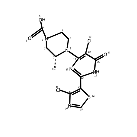 C[C@@H]1CN(C(=O)O)CCN1c1nc(-c2scnc2Cl)[nH]c(=O)c1Cl